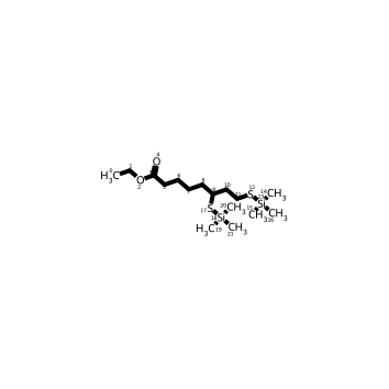 CCOC(=O)CCCCC(CCS[Si](C)(C)C)S[Si](C)(C)C